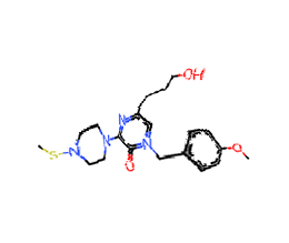 COc1ccc(Cn2cc(CCCO)nc(N3CCN(SC)CC3)c2=O)cc1